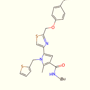 CCC(C)NC(=O)c1cc(-c2csc(COc3ccc(OC)cc3)n2)n(Cc2cccs2)c1C